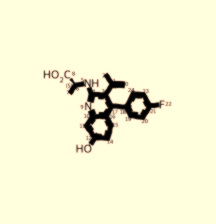 C=C(C)c1c(N[C@@H](C)C(=O)O)nc2cc(O)ccc2c1-c1ccc(F)cc1